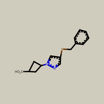 O=C(O)C1CC(n2cc(SCc3ccccc3)cn2)C1